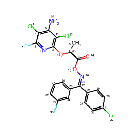 C[C@@H](Oc1nc(F)c(Cl)c(N)c1Cl)C(=O)O/N=C(/c1ccc(Cl)cc1)c1cccc(F)c1